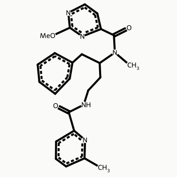 COc1nccc(C(=O)N(C)C(CCNC(=O)c2cccc(C)n2)Cc2ccccc2)n1